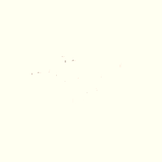 CCCCCCCCCCCCCC(C)CCC(CCCCC)CCCCCCC